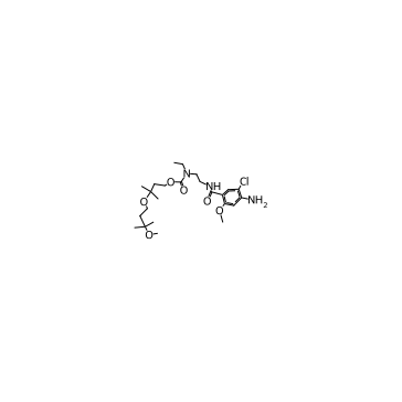 CCN(CCNC(=O)c1cc(Cl)c(N)cc1OC)C(=O)OCCC(C)(C)OCCC(C)(C)OC